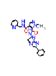 Cn1ncc(C(=O)NCc2ccccn2)c1C(=O)Nc1ccn2cc(-c3ccccc3)nc2n1